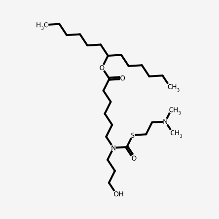 CCCCCCC(CCCCCC)OC(=O)CCCCCN(CCCO)C(=O)SCCN(C)C